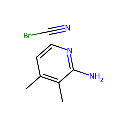 Cc1ccnc(N)c1C.N#CBr